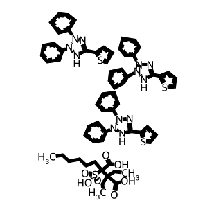 CCCCCCC(C(=O)O)(C(CC)(CC)C(=O)O)S(=O)(=O)O.c1ccc(N2N=C(c3cccs3)NN2c2ccccc2)cc1.c1ccc(N2N=C(c3cccs3)NN2c2ccccc2)cc1.c1ccc(N2N=C(c3cccs3)NN2c2ccccc2)cc1